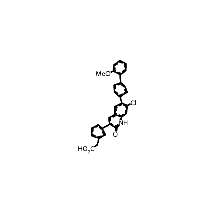 COc1ccccc1-c1ccc(-c2cc3cc(-c4cccc(CC(=O)O)c4)c(=O)[nH]c3cc2Cl)cc1